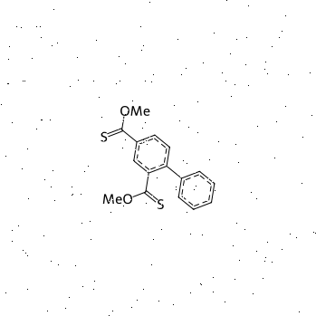 COC(=S)c1ccc(-c2ccccc2)c(C(=S)OC)c1